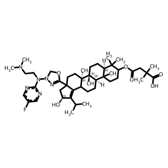 CC(C)C1=C2C3CC[C@@H]4C5(C)CCC(OC(=O)CC(C)(C)C(=O)O)C(C)(C)[C@@H]5CC[C@@]4(C)[C@]3(C)CCC2(C2=NN(N(CCN(C)C)c3ncc(F)cn3)CO2)C[C@@H]1O